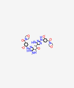 CNc1nc(Nc2ccc(C(=O)N3CCOCC3)cc2OC)ncc1C(C)C(=O)C(C)c1cnc(Nc2ccc(C(=O)N3CCOCC3)cc2OC)nc1NC